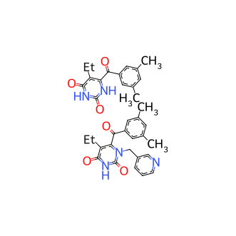 CCc1c(C(=O)c2cc(C)cc(C)c2)[nH]c(=O)[nH]c1=O.CCc1c(C(=O)c2cc(C)cc(C)c2)n(Cc2cccnc2)c(=O)[nH]c1=O